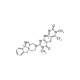 Cn1c(C(F)(F)F)c(Sc2c(N)nc(N3CCC4(CC3)Cc3ccccc3[C@H]4N)n(C)c2=O)cnc1=O